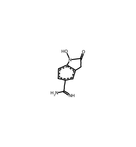 N=C(N)c1ccc2c(c1)CC(=O)N2O